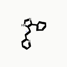 C(=C\c1[nH]cnc1-c1ccccc1)/c1ccccn1